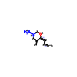 C=C1CN(N)CO/C1=C/C=C\C